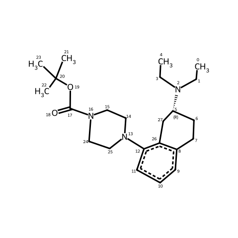 CCN(CC)[C@@H]1CCc2cccc(N3CCN(C(=O)OC(C)(C)C)CC3)c2C1